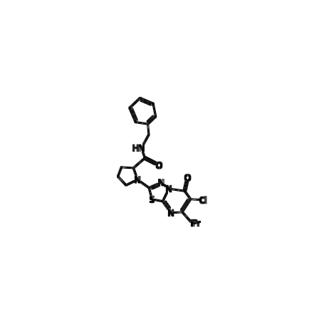 CC(C)c1nc2sc(N3CCCC3C(=O)NCc3ccccc3)nn2c(=O)c1Cl